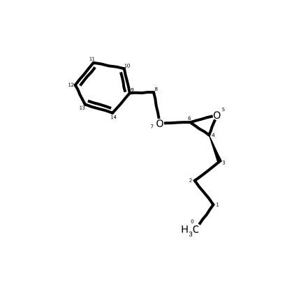 CCCC[C@@H]1OC1OCc1ccccc1